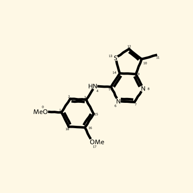 COc1cc(Nc2ncnc3c(C)csc23)cc(OC)c1